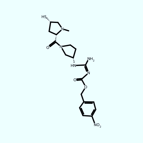 CN1C[C@@H](S)C[C@H]1C(=O)N1CC[C@H](NC(N)=NC(=O)OCc2ccc([N+](=O)[O-])cc2)C1